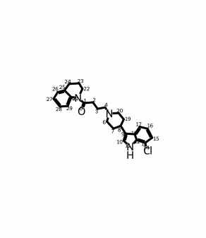 O=C(CCCN1CCC(c2c[nH]c3c(Cl)cccc23)CC1)N1CCCc2ccccc21